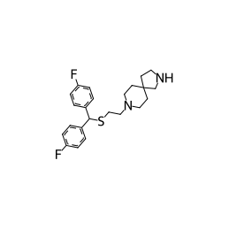 Fc1ccc(C(SCCN2CCC3(CCNC3)CC2)c2ccc(F)cc2)cc1